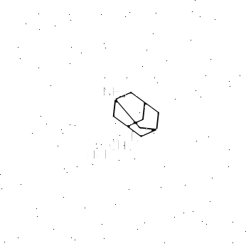 C.C.C1C2CC3CC1CC(C2)C3.Cl.N